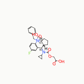 O=C(O)COC(=O)N(C1CC1)[C@H]1c2cc(F)ccc2[N+](Cc2ccccc2)(C(=O)O)[C@H]2CCC[C@H]12